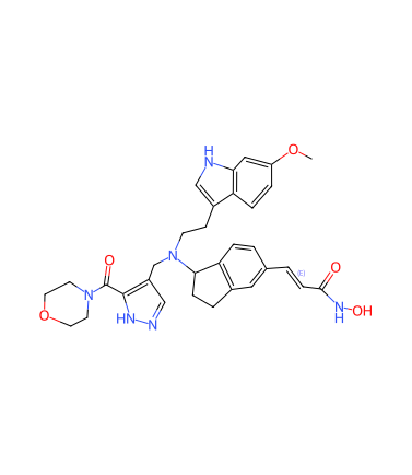 COc1ccc2c(CCN(Cc3cn[nH]c3C(=O)N3CCOCC3)C3CCc4cc(/C=C/C(=O)NO)ccc43)c[nH]c2c1